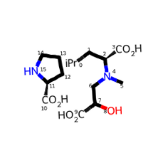 CC(C)C[C@@H](C(=O)O)N(C)CC(O)C(=O)O.O=C(O)[C@@H]1CCCN1